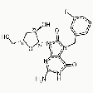 Nc1nc2c(c(=O)[nH]1)n(Cc1cccc(F)c1)c(=O)n2[C@@H]1O[C@H](CO)C[C@H]1O